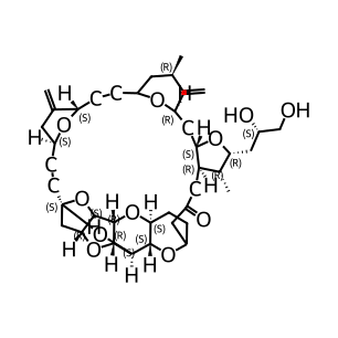 C=C1C[C@@H]2CC[C@@]34C[C@H]5O[C@H]6[C@@H](O3)[C@H]3OC(CC[C@@H]3O[C@H]6[C@H]5O4)CC(=O)C[C@@H]3[C@@H](C)[C@@H](C[C@H](O)CO)O[C@H]3C[C@H]3OC(CC[C@@H]1O2)C[C@@H](C)C3=C